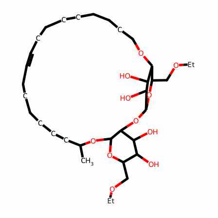 CCOCC1OC2OC(C)CCCCCC/C=C\CCCCCCCCOC3C(COCC)OC(OC2C(O)C1O)C(O)C3O